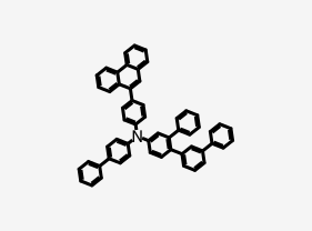 c1ccc(-c2ccc(N(c3ccc(-c4cc5ccccc5c5ccccc45)cc3)c3ccc(-c4cccc(-c5ccccc5)c4)c(-c4ccccc4)c3)cc2)cc1